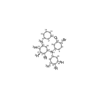 [2H]c1cc(N(c2ccc(Br)c(Oc3ccccc3)c2)c2cc([2H])c([2H])c([2H])c2[2H])cc([2H])c1[2H]